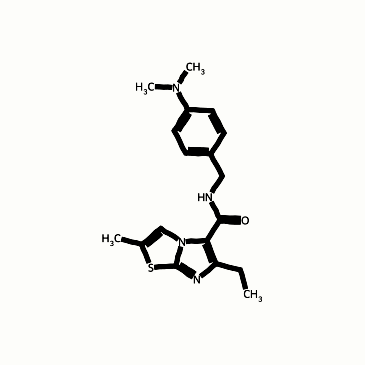 CCc1nc2sc(C)cn2c1C(=O)NCc1ccc(N(C)C)cc1